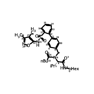 CCCCCCNC(=O)[C@H](C(C)C)N(Cc1ccc(-c2ccccc2S(=O)(=O)Nc2onc(C)c2C)cc1)C(=O)CCCC